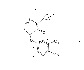 CCN(C(=O)C(CC(C)C)Oc1ccc(C#N)c(C(F)(F)F)c1)C1CC1